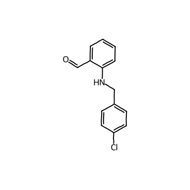 O=Cc1ccccc1NCc1ccc(Cl)cc1